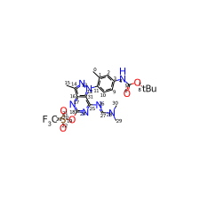 Cc1cc(NC(=O)OC(C)(C)C)ccc1-n1nc(C)c2nc(OS(=O)(=O)C(F)(F)F)nc(/N=C/N(C)C)c21